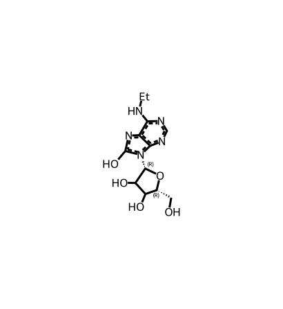 CCNc1ncnc2c1nc(O)n2[C@@H]1O[C@H](CO)C(O)C1O